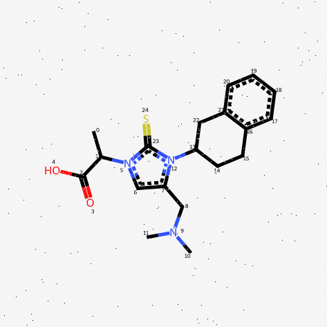 CC(C(=O)O)n1cc(CN(C)C)n(C2CCc3ccccc3C2)c1=S